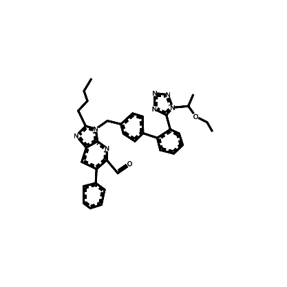 CCCCc1nc2cc(-c3ccccc3)c(C=O)nc2n1Cc1ccc(-c2ccccc2-c2nnnn2C(C)OCC)cc1